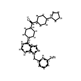 CCCc1cccc(Cn2ncc3c(N4CCN(C(=O)C5CCC(N6CCCC6)CC5)CC4)ncnc32)n1